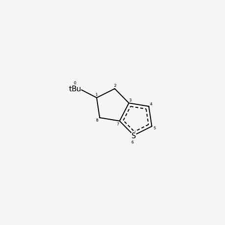 CC(C)(C)C1Cc2ccsc2C1